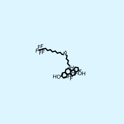 CN(CCCCCCCCC(F)(F)C(F)(F)F)CCCCC[C@@H]1Cc2cc(O)ccc2[C@H]2C(F)C[C@@]3(C)[C@@H](CC[C@]3(C)O)[C@H]12